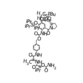 COc1cc(C(=O)N2CCC[C@H]2CO[Si](C)(C)C(C)(C)C)c(NC(=O)OCc2ccc(NC(=O)[C@H](C)NC(=O)[C@@H](OC(N)=O)C(C)C)cc2)cc1O[Si](C(C)C)(C(C)C)C(C)C